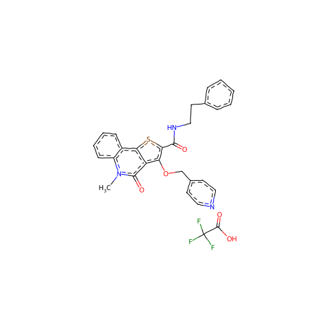 Cn1c(=O)c2c(OCc3ccncc3)c(C(=O)NCCc3ccccc3)sc2c2ccccc21.O=C(O)C(F)(F)F